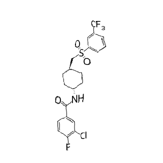 O=C(N[C@H]1CC[C@H](CS(=O)(=O)c2cccc(C(F)(F)F)c2)CC1)c1ccc(F)c(Cl)c1